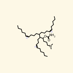 CCCCC/C=C\CCCC(CCC/C=C\CCCCC)C(CC/C=C\CCCCC)C(CCCN(C)C)OC(N)=O